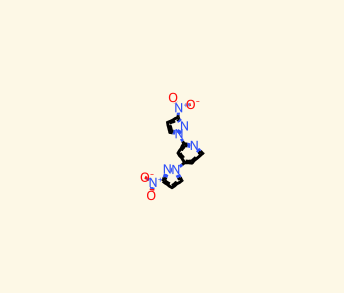 O=[N+]([O-])c1ccn(-c2ccnc(-n3ccc([N+](=O)[O-])n3)c2)n1